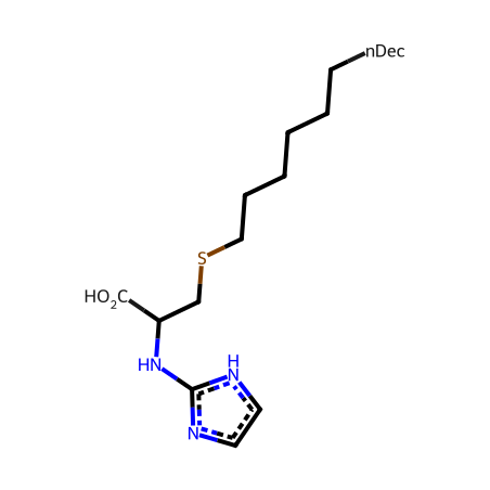 CCCCCCCCCCCCCCCCSCC(Nc1ncc[nH]1)C(=O)O